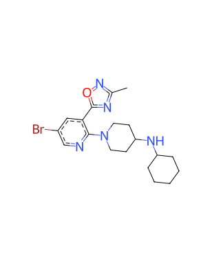 Cc1noc(-c2cc(Br)cnc2N2CCC(NC3CCCCC3)CC2)n1